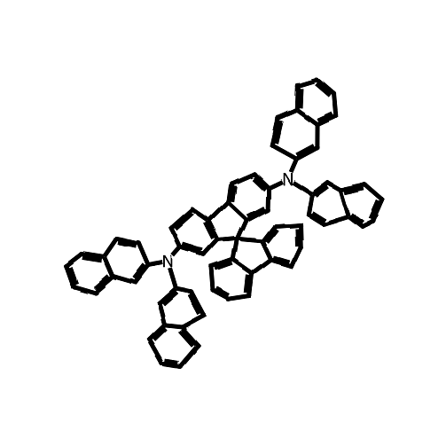 c1ccc2c(c1)-c1ccccc1C21c2cc(N(c3ccc4ccccc4c3)c3ccc4ccccc4c3)ccc2-c2ccc(N(c3ccc4ccccc4c3)c3ccc4ccccc4c3)cc21